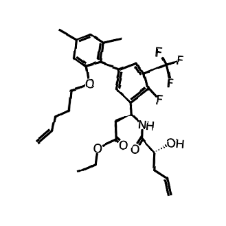 C=CCCCOc1cc(C)cc(C)c1-c1cc([C@H](CC(=O)OCC)NC(=O)[C@H](O)CC=C)c(F)c(C(F)(F)F)c1